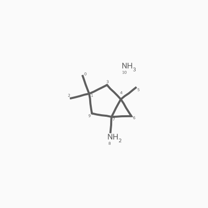 CC1(C)CC2(C)CC2(N)C1.N